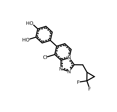 Oc1ccc(-c2ccn3c(CC4CC4(F)F)nnc3c2Cl)cc1O